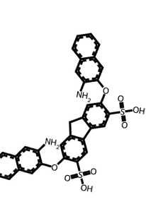 Nc1cc2ccccc2cc1Oc1cc2c(cc1S(=O)(=O)O)-c1cc(S(=O)(=O)O)c(Oc3cc4ccccc4cc3N)cc1C2